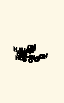 N[C@@H]1C(=O)N2C(C(=O)O)=C(C=C3CCN(c4cccc(O)c4)C3=O)CS[C@H]12.O=C(O)C(F)(F)F